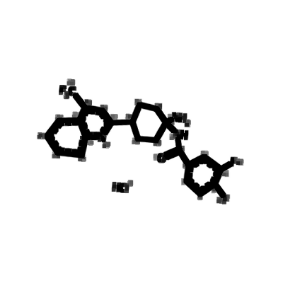 Cl.NC1(NC(=O)c2ccc(F)c(F)c2)CCC(c2cc(C(F)(F)F)c3ccccc3n2)CC1